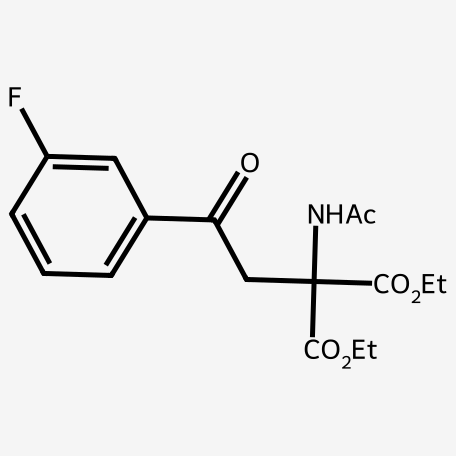 CCOC(=O)C(CC(=O)c1cccc(F)c1)(NC(C)=O)C(=O)OCC